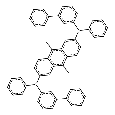 Cc1c2ccc(N(c3ccccc3)c3cccc(-c4ccccc4)c3)cc2c(C)c2ccc(N(c3ccccc3)c3cccc(-c4ccccc4)c3)cc12